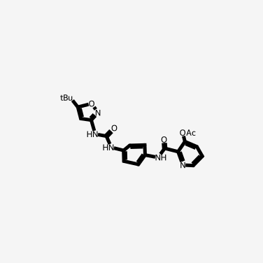 CC(=O)Oc1cccnc1C(=O)Nc1ccc(NC(=O)Nc2cc(C(C)(C)C)on2)cc1